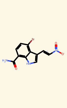 NC(=O)c1ccc(Br)c2c(/C=C/[N+](=O)[O-])c[nH]c12